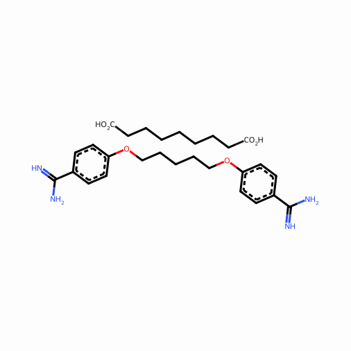 N=C(N)c1ccc(OCCCCCOc2ccc(C(=N)N)cc2)cc1.O=C(O)CCCCCCCC(=O)O